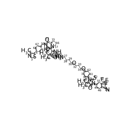 Cc1ncsc1-c1ccc(CNC(=O)[C@@H]2CCCN2C(=O)[C@@H](NC(=O)CNCCCCOCCCOc2ccc(N3C(=S)N(c4ccc(C#N)c(C(F)(F)F)c4)C(=O)C3(C)C)cc2)C(C)(C)C)cc1